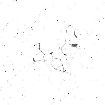 CC(=O)N[C@H](C(=O)N1C[C@H]2[C@@H]([C@H]1C(=O)N[C@H](C#N)C[C@@H]1CCNC1=O)C2(C)C)C1CC1